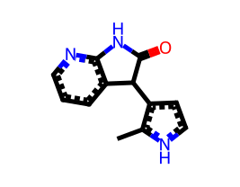 Cc1[nH]ccc1C1C(=O)Nc2ncccc21